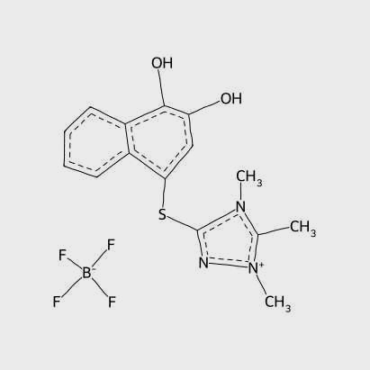 Cc1n(C)c(Sc2cc(O)c(O)c3ccccc23)n[n+]1C.F[B-](F)(F)F